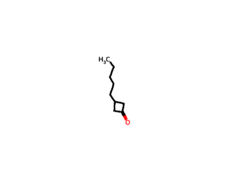 CCCCCC1CC(=O)C1